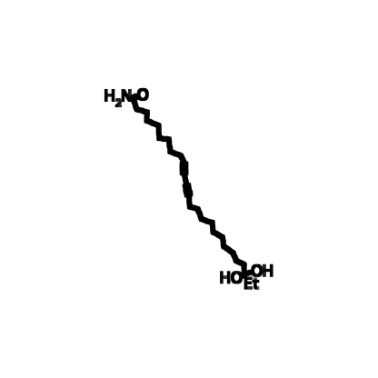 CCC(O)(O)CCCCCCCCCCC#CC#CCCCCCCCCC(N)=O